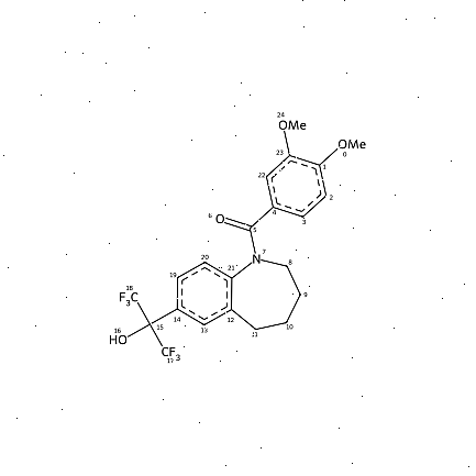 COc1ccc(C(=O)N2CCCCc3cc(C(O)(C(F)(F)F)C(F)(F)F)ccc32)cc1OC